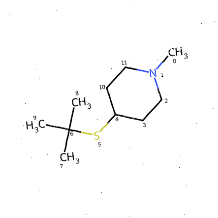 CN1CCC(SC(C)(C)C)CC1